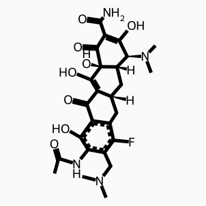 CC(=O)Nc1c(O)c2c(c(F)c1CN(C)C)C[C@H]1C[C@H]3[C@H](N(C)C)C(O)=C(C(N)=O)C(=O)[C@@]3(O)C(O)=C1C2=O